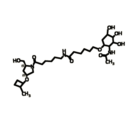 CC(=O)NC1C(OCCCCCC(=O)NCCCCCC(=O)N2C[C@H](OC3CCC3C)C[C@H]2CO)CC(CO)C(O)C1O